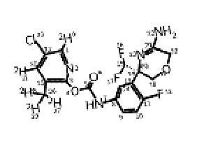 [2H]c1nc(OC(=O)Nc2ccc(F)c([C@]3(C(F)F)COCC(N)=N3)c2)c(C([2H])([2H])[2H])c([2H])c1Cl